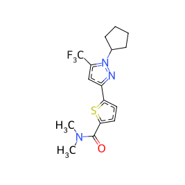 CN(C)C(=O)c1ccc(-c2cc(C(F)(F)F)n(C3CCCC3)n2)s1